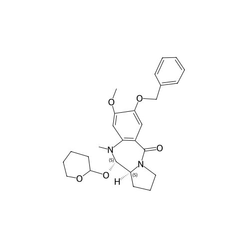 COc1cc2c(cc1OCc1ccccc1)C(=O)N1CCC[C@H]1[C@H](OC1CCCCO1)N2C